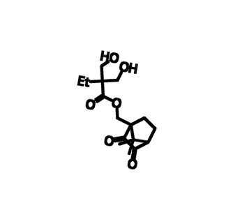 CCC(CO)(CO)C(=O)OCC12CCC(C(=O)C1=O)C2(C)C